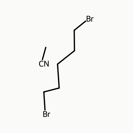 BrCCCCCBr.CC#N